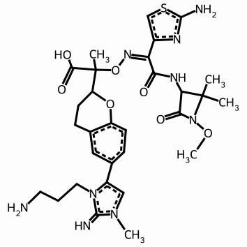 CON1C(=O)C(NC(=O)/C(=N\OC(C)(C(=O)O)C2CCc3cc(-c4cn(C)c(=N)n4CCCN)ccc3O2)c2csc(N)n2)C1(C)C